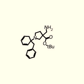 CC(C)(C)OC(=O)C1(CN)CCN(C2(Cc3ccccc3)C=CC=CC2)C1